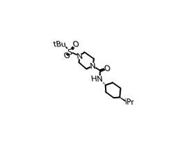 CC(C)[C@H]1CC[C@H](NC(=O)N2CCN(S(=O)(=O)C(C)(C)C)CC2)CC1